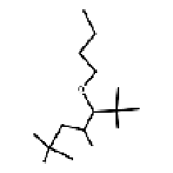 CCCCOC(C(C)CC(C)(C)C)C(C)(C)C